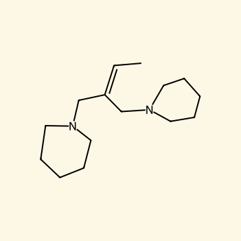 CC=C(CN1CCCCC1)CN1CCCCC1